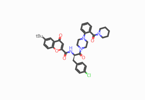 CC(C)(C)c1ccc2oc(C(=O)N[C@H](Cc3ccc(Cl)cc3)C(=O)N3CCN(c4ccccc4C(=O)N4CCCCC4)CC3)cc(=O)c2c1